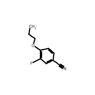 [CH2]CCOc1ccc(C#N)cc1F